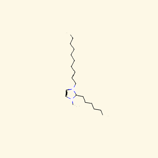 CCCCCCCCCCCCCCCCCCCN1C=CN(CCCCCCCCC)C1CCCCCCCCCCCCCCC